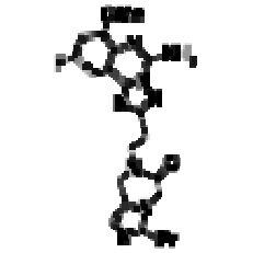 COc1cc(F)cc2c1nc(N)n1nc(CCN3Cc4cnc(C(C)C)n4CC3=O)nc21